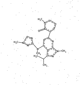 CC(C)c1nn(C)c2nc(-c3cccn(C)c3=O)cc(N(C)c3ncn(C)n3)c12